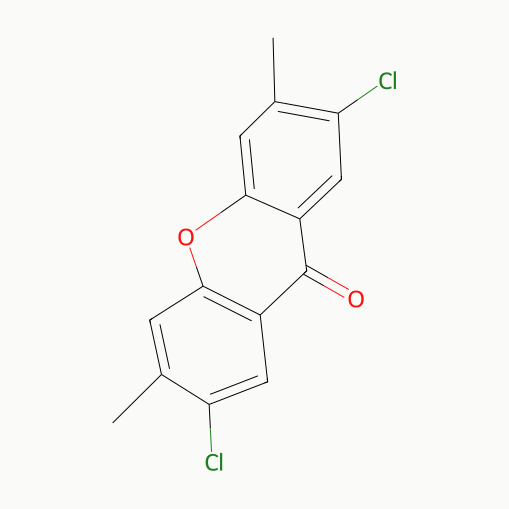 Cc1cc2oc3cc(C)c(Cl)cc3c(=O)c2cc1Cl